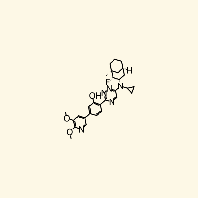 COc1cc(-c2ccc(-c3ncc(N(C4CC4)[C@H]4C[C@@H]5CCC[C@@](C)(C5)[C@H]4F)nn3)c(O)c2)cnc1OC